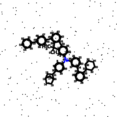 CC1(C)c2cc(N(c3ccc(C4CC5CCC4C5)cc3)c3cccc(-c4ccccc4C4CCCCC4)c3)ccc2-c2cccc(-c3ccc(-c4ccccc4)cc3)c21